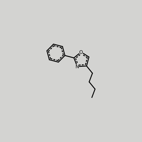 CCCCc1coc(-c2ccccc2)n1